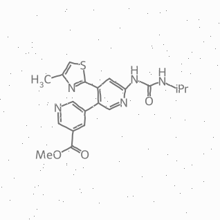 COC(=O)c1cncc(-c2cnc(NC(=O)NC(C)C)cc2-c2nc(C)cs2)c1